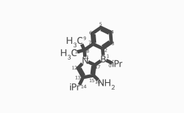 CC(C)B1c2ccccc2C(C)(C)n2cc(C(C)C)c(N)c21